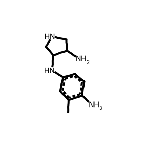 Cc1cc(NC2CNCC2N)ccc1N